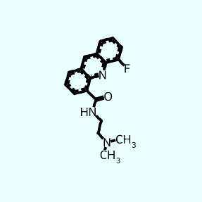 CN(C)CCNC(=O)c1cccc2cc3cccc(F)c3nc12